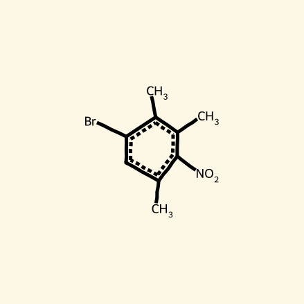 Cc1cc(Br)c(C)c(C)c1[N+](=O)[O-]